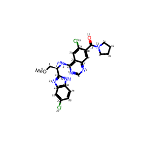 COC[C@@H](Nc1ncnc2cc(C(=O)N3CCCC3)c(Cl)cc12)c1nc2cc(Cl)ccc2[nH]1